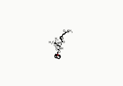 COC(=O)C=Cc1ccc(C(=O)NC[C@H](NC(=O)OCC23CC4CC(CC(C4)C2)C3)C(=O)OC(C)(C)C)s1